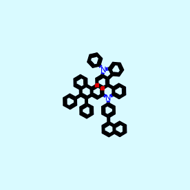 c1ccc(-c2c(-c3ccccc3)c3cc(N(c4ccc(-c5cccc6ccccc56)cc4)c4ccccc4-c4cccc5c4c4ccccc4n5-c4ccccc4)ccc3c3ccccc23)cc1